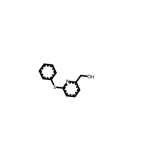 OCc1cccc(Sc2ccccc2)n1